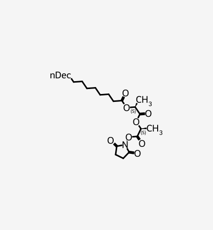 CCCCCCCCCCCCCCCCCC(=O)O[C@@H](C)C(=O)O[C@@H](C)C(=O)ON1C(=O)CCC1=O